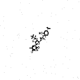 C=C(C)[C@@H]1CC[C@](C)(S[PH](=S)OC[C@H]2O[C@@H](n3cc(C)c(=O)[nH]c3=O)[C@H](F)C2O[Si](C)(C)C(C)(C)C)[C@@H](O)C1